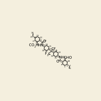 C=Cc1ccc(C(=O)Nc2ccc(C(c3ccc(NC(=O)c4ccc(C=C)cc4C(=O)O)cc3)(C(F)(F)F)C(F)(F)F)cc2)c(C=O)c1